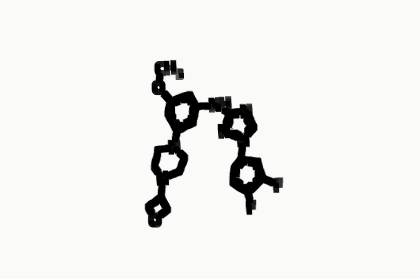 COc1cc(Nc2ncn(-c3ccc(F)c(F)c3)n2)cc(N2CCN(C3COC3)CC2)c1